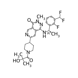 C[C@@H](Nc1nn(C)c(=O)c2cnc(C3CCN(C(=O)C(C)(C)O)CC3)cc12)c1cccc(C(F)F)c1F